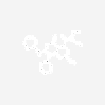 CON(C)C(=O)c1nc(C)cc2c1c(=O)cc(Nc1ccccc1)n2-c1ccccc1